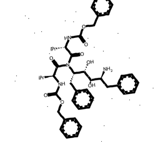 CC(C)[C@H](NC(=O)OCc1ccccc1)C(=O)N(C(=O)[C@@H](NC(=O)OCc1ccccc1)C(C)C)[C@@H](Cc1ccccc1)[C@H](O)[C@@H](O)[C@@H](N)Cc1ccccc1